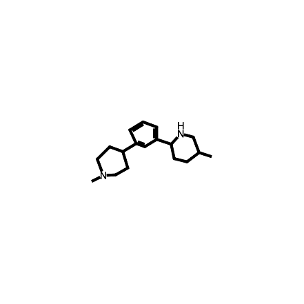 CC1CCC(c2cccc(C3CCN(C)CC3)c2)NC1